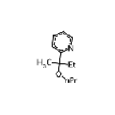 CCCOC(C)(CC)c1ccccn1